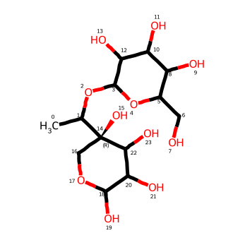 CC(OC1OC(CO)C(O)C(O)C1O)[C@@]1(O)COC(O)C(O)C1O